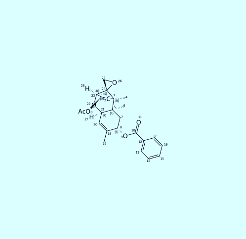 CC(=O)O[C@@H]1C[C@]2(C)[C@@]3(C)C[C@H](OC(=O)c4ccccc4)C(C)=C[C@H]3O[C@H]1[C@@]21CO1